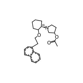 CC(=O)OC1CCN([C@@H]2CCCCC2OCCc2cccc3ccccc23)C1